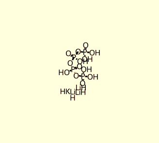 O=P(O)(O)OP(=O)(O)OP(=O)(O)OP(=O)(O)O.[KH].[LiH].[LiH].[LiH]